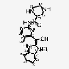 CCN1C(=C(C#N)c2nc(NC(=O)C3CNCCN3)ncc2C)Nc2ccccc21